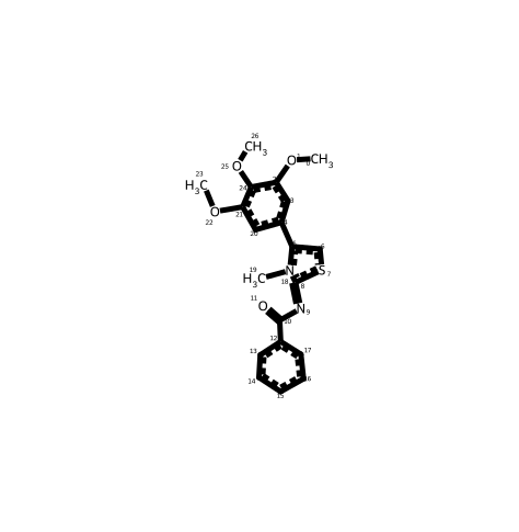 COc1cc(-c2cs/c(=N/C(=O)c3ccccc3)n2C)cc(OC)c1OC